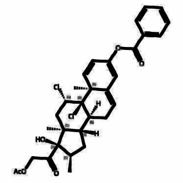 CC(=O)OCC(=O)[C@@]1(O)[C@H](C)C[C@H]2[C@@H]3CC=C4C=C(OC(=O)c5ccccc5)C=C[C@]4(C)[C@@]3(Cl)[C@@H](Cl)C[C@@]21C